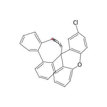 Clc1ccc2c(c1)C1(c3ccccc3O2)c2ccccc2-c2ccccc2-c2ccccc21